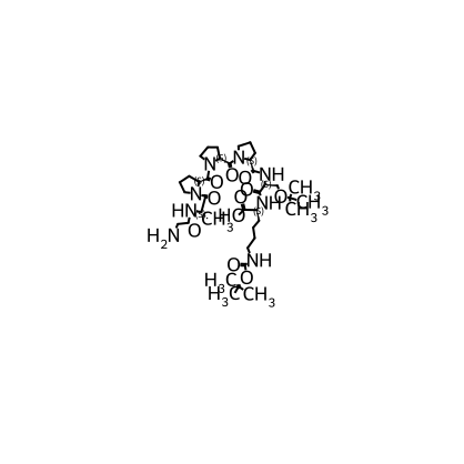 C[C@H](NC(=O)CN)C(=O)N1CCC[C@H]1C(=O)N1CCC[C@H]1C(=O)N1CCC[C@H]1C(=O)N[C@@H](COC(C)(C)C)C(=O)N[C@@H](CCCCNC(=O)OC(C)(C)C)C(=O)O